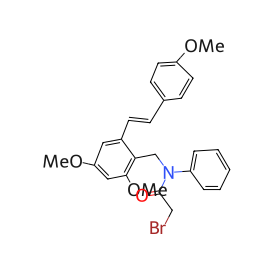 COc1ccc(C=Cc2cc(OC)cc(OC)c2CN(C(=O)CBr)c2ccccc2)cc1